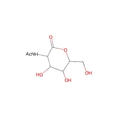 CC(=O)NC1C(=O)OC(CO)C(O)C1O